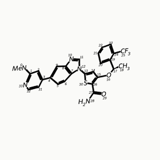 CNc1cc(-c2ccc3c(c2)ncn3-c2cc(O[C@H](C)c3ccccc3C(F)(F)F)c(C(N)=O)s2)ccn1